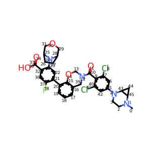 CN1CCN(c2cc(Cl)c(C(=O)N3COc4c(cccc4-c4cc(N5C6CCC5COC6)c(C(=O)O)cc4F)C3)c(Cl)c2)C2CC21